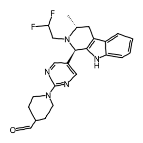 C[C@@H]1Cc2c([nH]c3ccccc23)[C@@H](c2cnc(N3CCC(C=O)CC3)nc2)N1CC(F)F